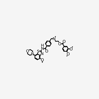 COc1ccc(C(=O)OCCN(C)Cc2ccc(C(=O)Nc3nc4c(OC)ccc(N5CCOCC5)c4s3)cc2)cc1OC